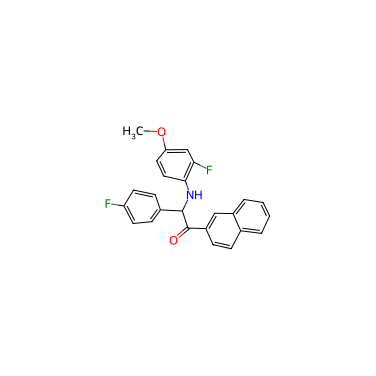 COc1ccc(NC(C(=O)c2ccc3ccccc3c2)c2ccc(F)cc2)c(F)c1